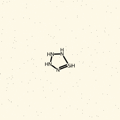 N1=[SiH]NNN1